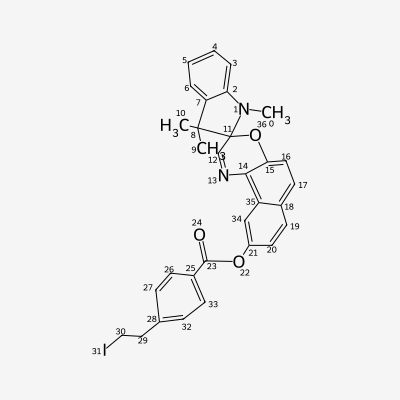 CN1c2ccccc2C(C)(C)C12C=Nc1c(ccc3ccc(OC(=O)c4ccc(CCI)cc4)cc13)O2